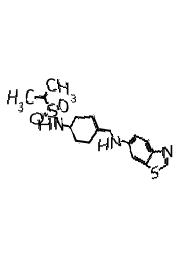 CC(C)S(=O)(=O)NC1CCC(CNc2ccc3ncsc3c2)CC1